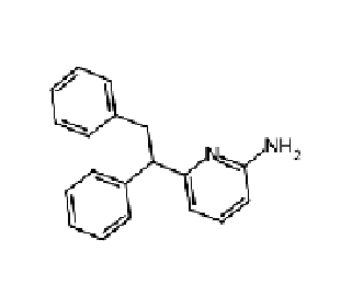 Nc1cccc(C(Cc2ccccc2)c2ccccc2)n1